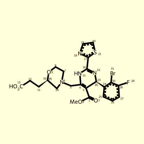 COC(=O)C1=C(CN2CCO[C@H](CCC(=O)O)C2)NC(c2nccs2)=N[C@H]1c1cccc(F)c1Br